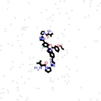 CC[C@@H](C)Oc1cccc(C2Oc3cc(-c4cnc([C@@H]5CCCN5C(=O)[C@@H](N)C(C)C)[nH]4)cc(F)c3-c3cc4cc(-c5cnc([C@@H]6CCCN6C(=O)[C@@H](N)C(C)C)[nH]5)ccc4n32)c1